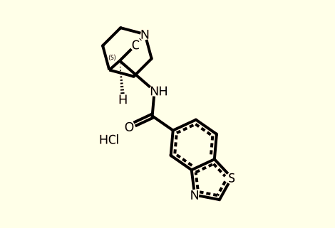 Cl.O=C(N[C@@H]1CN2CCC1CC2)c1ccc2scnc2c1